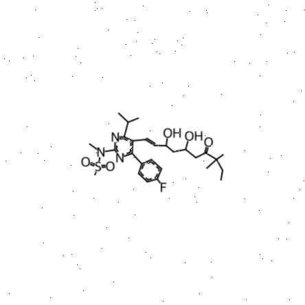 CCC(C)(C)C(=O)CC(O)CC(O)/C=C/c1c(-c2ccc(F)cc2)nc(N(C)S(C)(=O)=O)nc1C(C)C